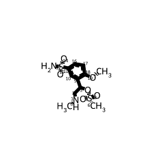 CNCC(OS(C)(=O)=O)c1cc(S(N)(=O)=O)ccc1OC